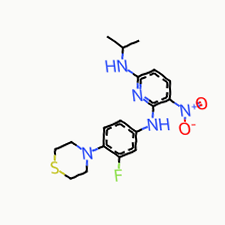 CC(C)Nc1ccc([N+](=O)[O-])c(Nc2ccc(N3CCSCC3)c(F)c2)n1